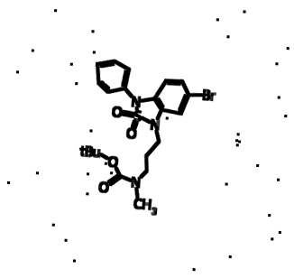 CN(CCCN1c2cc(Br)ccc2N(c2ccccc2)S1(=O)=O)C(=O)OC(C)(C)C